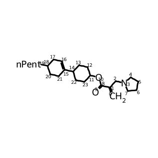 C=C(CN1CCCC1)C(=O)OC1CCC(C2=CCC(CCCCC)CC2)CC1